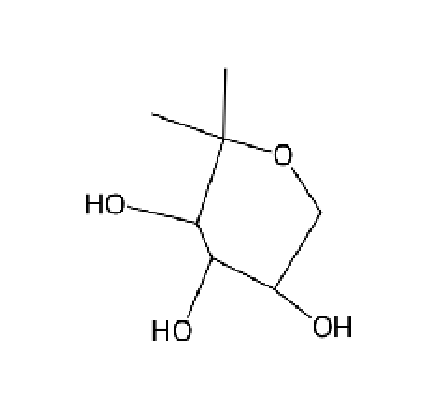 CC1(C)OCC(O)C(O)C1O